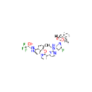 Cc1ccc2c(NC[C@H](O)C(F)(F)F)cccc2c1Oc1ncccc1-c1ccnc(NC2CC(F)CN(C(=O)OC(C)(C)C)C2)n1